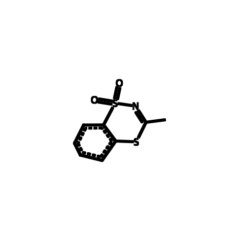 CC1=NS(=O)(=O)c2ccccc2S1